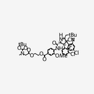 COc1cc(C(=O)OCCOC(=O)CN(C)C(=O)OC(C)(C)C)ccc1NC(=O)[C@@H]1N[C@@H](CC(C)(C)C)[C@](C#N)(c2ccc(Cl)cc2F)[C@H]1c1cccc(Cl)c1F